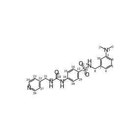 CN(C)c1cccc(CNS(=O)(=O)c2ccc(NC(=O)NCc3ccncc3)cc2)c1